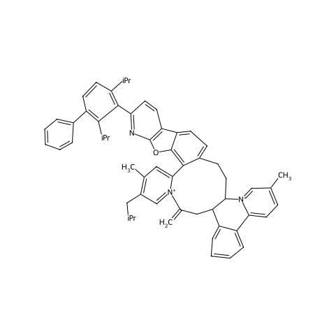 C=C1CC2c3ccccc3-c3ccc(C)c[n+]3C2CCc2ccc3c(oc4nc(-c5c(C(C)C)ccc(-c6ccccc6)c5C(C)C)ccc43)c2-c2cc(C)c(CC(C)C)c[n+]21